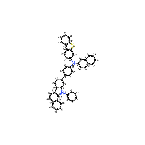 c1ccc(-n2c3cc(-c4ccc(N(c5ccc6ccccc6c5)c5ccc6c(c5)sc5ccccc56)cc4)ccc3c3ccc4ccccc4c32)cc1